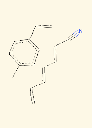 C=CC=CC=CC#N.C=Cc1ccc(C)cc1